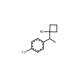 CC(c1ccc(C(F)(F)F)cc1)C1(C#N)CCC1